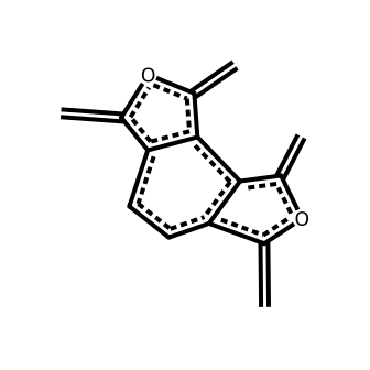 C=c1oc(=C)c2c1ccc1c(=C)oc(=C)c12